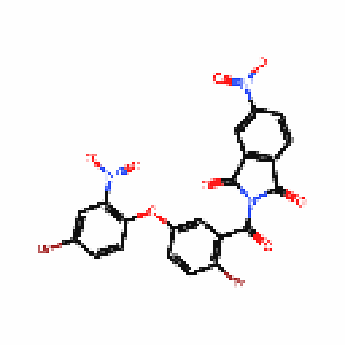 O=C(c1cc(Oc2ccc(Br)cc2[N+](=O)[O-])ccc1Br)N1C(=O)c2ccc([N+](=O)[O-])cc2C1=O